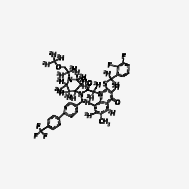 [2H]c1c(C)c([2H])c2c(=O)c([2H])c(SC([2H])([2H])c3cccc(F)c3F)n(C([2H])([2H])C(=O)N(Cc3ccc(-c4ccc(C(F)(F)F)cc4)cc3)C3([2H])C([2H])([2H])C([2H])([2H])N(C([2H])([2H])COC([2H])([2H])[2H])C([2H])([2H])C3([2H])[2H])c2c1[2H]